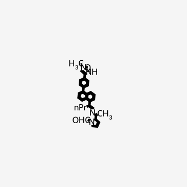 CCC/C(=C\N=C(/C)C1C=CCN1C=O)c1cccc2c(-c3ccc(C4=CN(C)ON4)cc3)cccc12